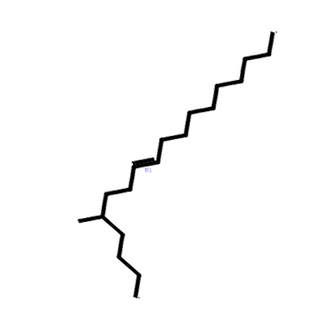 [CH2]CCCCCCCC/C=C/CCC(C)CCC[CH2]